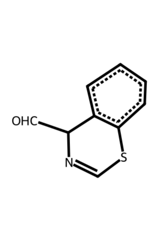 O=CC1N=CSc2ccccc21